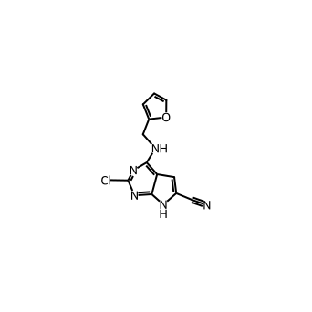 N#Cc1cc2c(NCc3ccco3)nc(Cl)nc2[nH]1